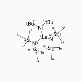 CC(C)(C)[N]([La]([N]([Si](C)(C)C)[Si](C)(C)C)[N]([Si](C)(C)C)[Si](C)(C)C)C(C)(C)C